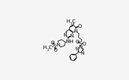 Cc1cc2cnc(NC3CCN(S(C)(=O)=O)CC3)nc2n(CCCS(=O)(=O)n2cnc(-c3ccccc3)n2)c1=O